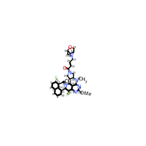 C#Cc1c(F)ccc2cccc(-c3ncc4c(N(C)C5CCN(C(=O)/C=C/CN6CC7CC6CO7)C5)nc(OC)nc4c3F)c12